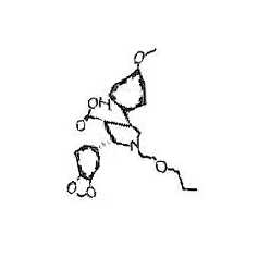 CCCOCCN1C[C@H](c2ccc(OC)cc2)[C@H](C(=O)O)[C@H]1c1ccc2c(c1)OCO2